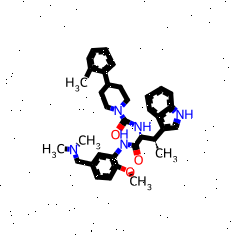 COc1ccc(CN(C)C)cc1NC(=O)[C@H](NC(=O)N1CCC(c2ccccc2C)CC1)[C@@H](C)c1c[nH]c2ccccc12